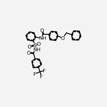 O=C(Nc1ccccc1S(=O)(=O)NC(=O)c1ccc(C(F)(F)F)cc1)c1ccc(OCc2ccccc2)cc1